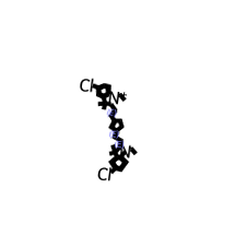 CCN1/C(=C/C=C2C=C(/C=C/C3=[N+](CC)c4ccc(Cl)cc4C3(C)C)CC/2)C(C)(C)c2cc(Cl)ccc21